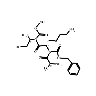 C[C@H](N)C(=O)N(C(=O)OCc1ccccc1)[C@@H](CCCCN)C(=O)N(C(=O)OC(C)(C)C)[C@@H](CO)C(=O)O